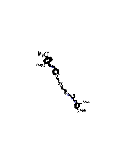 C=CC(/C=C/c1ccc(OC)cc1OC)=C\C=N\CCSSCC[n+]1ccc(/C=C/c2ccc(OC)cc2OC)cc1